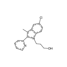 Cc1c(-c2ccccn2)n(CCCO)c2ccc(Cl)cc12